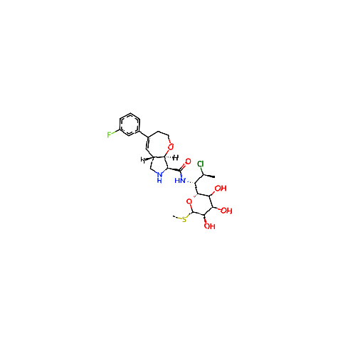 CSC1O[C@H]([C@H](NC(=O)[C@H]2NC[C@@H]3C=C(c4cccc(F)c4)CCO[C@@H]23)[C@H](C)Cl)C(O)C(O)[C@H]1O